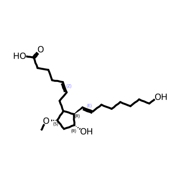 CO[C@H]1C[C@@H](O)[C@H](/C=C/CCCCCCO)C1C/C=C\CCCC(=O)O